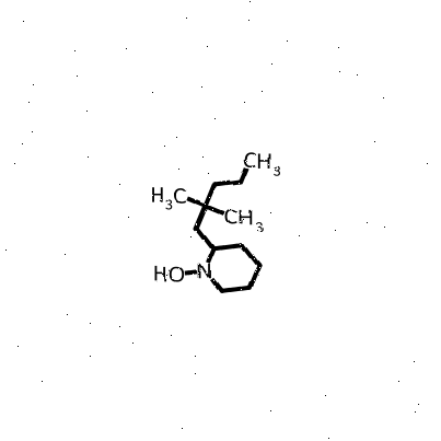 CCCC(C)(C)CC1CCCCN1O